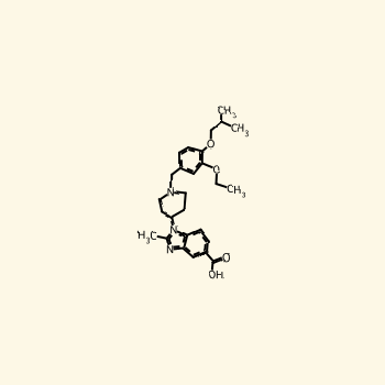 CCOc1cc(CN2CCC(n3c(C)nc4cc(C(=O)O)ccc43)CC2)ccc1OCC(C)C